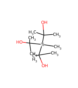 C[C](C)(O)[Ti]([CH3])([C](C)(C)O)[C](C)(C)O